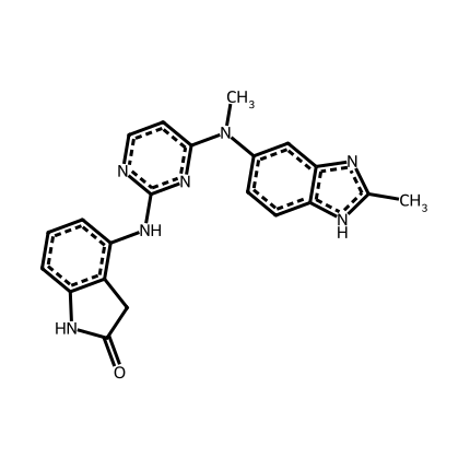 Cc1nc2cc(N(C)c3ccnc(Nc4cccc5c4CC(=O)N5)n3)ccc2[nH]1